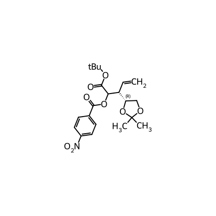 C=CC(C(OC(=O)c1ccc([N+](=O)[O-])cc1)C(=O)OC(C)(C)C)[C@@H]1COC(C)(C)O1